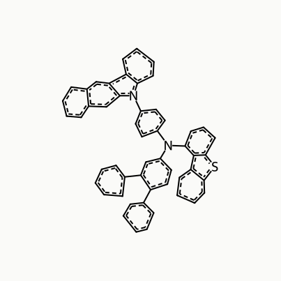 c1ccc(-c2ccc(N(c3ccc(-n4c5ccccc5c5cc6ccccc6cc54)cc3)c3cccc4sc5ccccc5c34)cc2-c2ccccc2)cc1